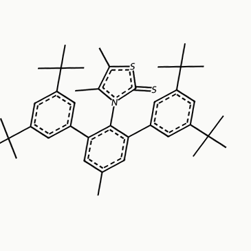 Cc1cc(-c2cc(C(C)(C)C)cc(C(C)(C)C)c2)c(-n2c(C)c(C)sc2=S)c(-c2cc(C(C)(C)C)cc(C(C)(C)C)c2)c1